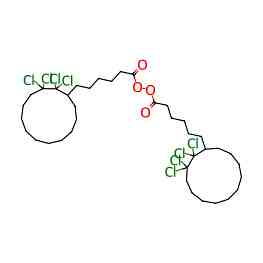 O=C(CCCCCC1CCCCCCCCCCC(Cl)(Cl)C1(Cl)Cl)OOC(=O)CCCCCC1CCCCCCCCCCC(Cl)(Cl)C1(Cl)Cl